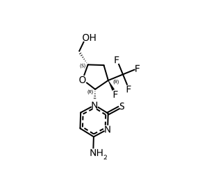 Nc1ccn([C@@H]2O[C@H](CO)C[C@]2(F)C(F)(F)F)c(=S)n1